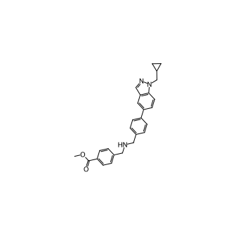 COC(=O)c1ccc(CNCc2ccc(-c3ccc4c(cnn4CC4CC4)c3)cc2)cc1